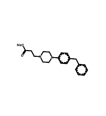 COC(=O)CCN1CCN(c2ccc(Cc3ccccc3)cc2)CC1